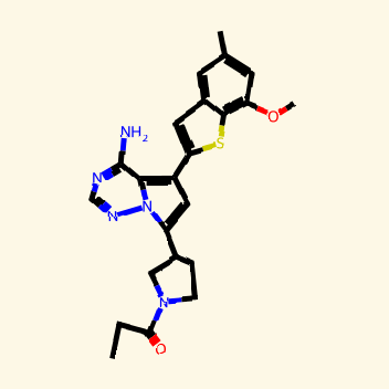 CCC(=O)N1CCC(c2cc(-c3cc4cc(C)cc(OC)c4s3)c3c(N)ncnn23)C1